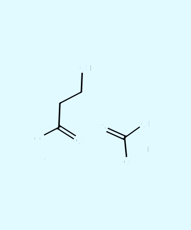 CCCC(=O)[O-].O=C([O-])O.[K+].[K+]